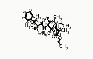 CCOC(=O)/C(C)=C/[C@H](CC)N(C)C(=O)[C@@H](NC(=O)[C@@H](NC)C(C)(C)c1ccccc1)C(C)(C)C